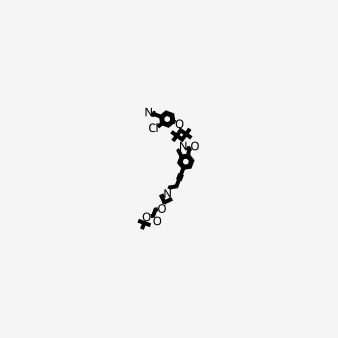 CC(C)(C)OC(=O)COC1CN(CCC#Cc2ccc3c(c2)CN([C@H]2C(C)(C)[C@H](Oc4ccc(C#N)c(Cl)c4)C2(C)C)C3=O)C1